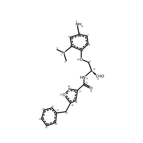 CN(C)c1cc(N)ccc1OC[C@@H](C=O)NC(=O)c1cc(Cc2ccccc2)on1